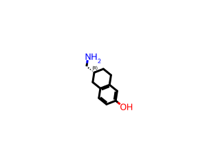 NC[C@@H]1CCc2cc(O)ccc2C1